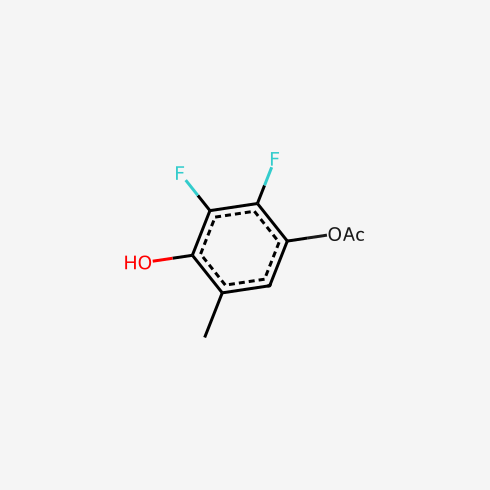 CC(=O)Oc1cc(C)c(O)c(F)c1F